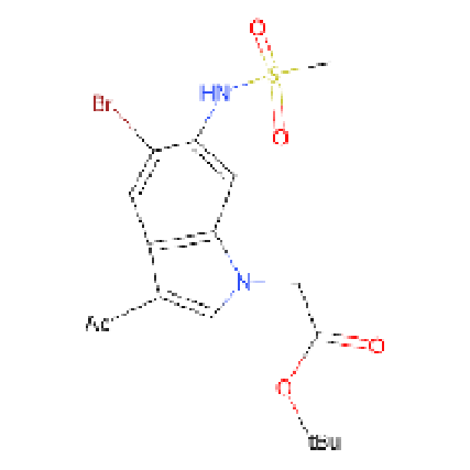 CC(=O)c1cn(CC(=O)OC(C)(C)C)c2cc(NS(C)(=O)=O)c(Br)cc12